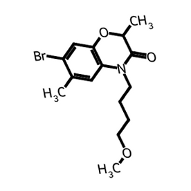 COCCCCN1C(=O)C(C)Oc2cc(Br)c(C)cc21